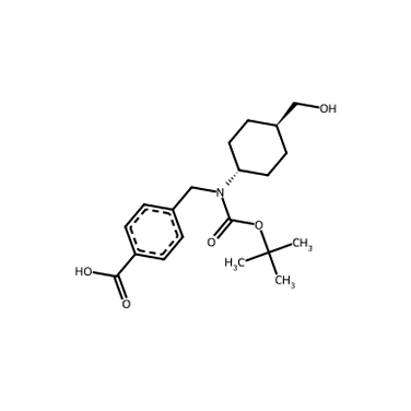 CC(C)(C)OC(=O)N(Cc1ccc(C(=O)O)cc1)[C@H]1CC[C@H](CO)CC1